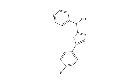 OC(c1ccncc1)c1cnc(-c2ccc(F)cc2)s1